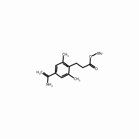 C=C(N)c1cc(C)c(CCC(=O)OC(C)(C)C)c(C)c1